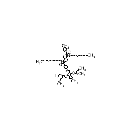 CCCCCCCCCCCCN1C(=O)C(c2ccc(C)cc2)=c2ccc3c4c(ccc3c21)=C(c1ccc(-c2cc3c(OCC(CC)CCCC)c5sc(C)cc5c(OCC(CC)CCCCC)c3s2)cc1)C(=O)N4CCCCCCCCCCCC